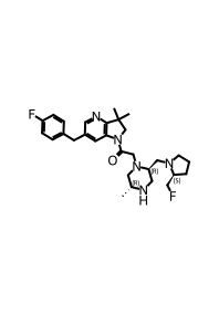 C[C@@H]1CN(CC(=O)N2CC(C)(C)c3ncc(Cc4ccc(F)cc4)cc32)[C@@H](CN2CCC[C@H]2CF)CN1